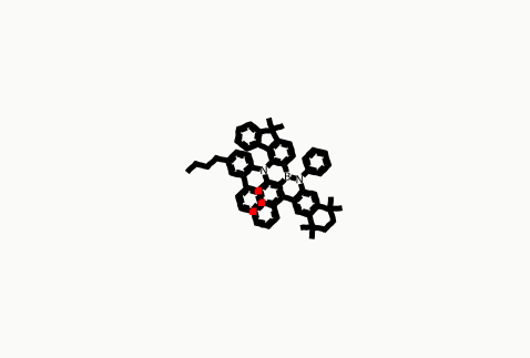 CCCCc1ccc(N2c3cc4ccccc4c4c3B(c3ccc5c(c32)-c2ccccc2C5(C)C)N(c2ccccc2)c2cc3c(cc2-4)C(C)(C)CCC3(C)C)c(-c2ccccc2)c1